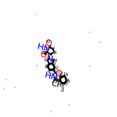 O=C1CCC(N2Cc3ccc(C(=O)N[C@H](c4ccccc4)C(F)(F)F)cc3C2)C(=O)N1